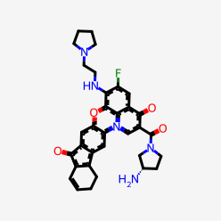 N[C@H]1CCN(C(=O)c2cn3c4cc5c6c(c(=O)c5cc4oc4c(NCCN5CCCC5)c(F)cc(c2=O)c43)C=CCC6)C1